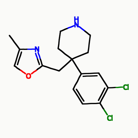 Cc1coc(CC2(c3ccc(Cl)c(Cl)c3)CCNCC2)n1